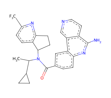 CC(C1CC1)N(C(=O)c1ccc2nc(N)c3ccncc3c2c1)C1CCc2nc(C(F)(F)F)ccc21